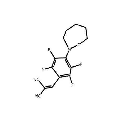 N#CC(C#N)=Cc1c(F)c(F)c(N2CCCCCC2)c(F)c1F